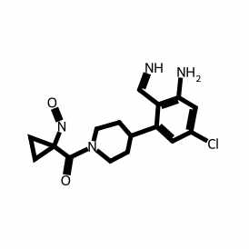 N=Cc1c(N)cc(Cl)cc1C1CCN(C(=O)C2(N=O)CC2)CC1